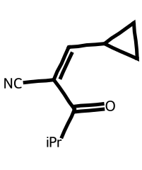 CC(C)C(=O)/C(C#N)=C\C1CC1